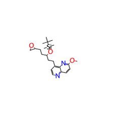 COc1ccc2nccc(CCC(CCC3CO3)O[Si](C)(C)C(C)(C)C)c2n1